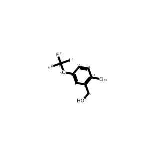 OCc1cc(OC(F)(F)I)ccc1Cl